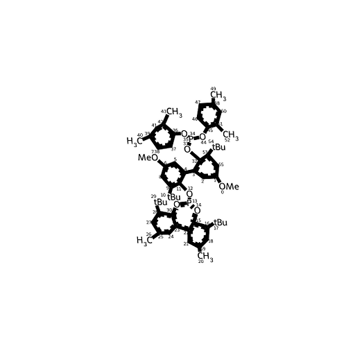 COc1cc(-c2cc(OC)cc(C(C)(C)C)c2Op2oc3c(C(C)(C)C)cc(C)cc3c3cc(C)cc(C(C)(C)C)c3o2)c(OP(Oc2ccc(C)cc2C)Oc2ccc(C)cc2C)c(C(C)(C)C)c1